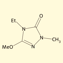 CCn1c(OC)nn(C)c1=O